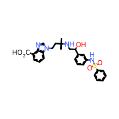 CC(C)(CCn1cnc2c(C(=O)O)cccc21)NCC(O)c1cccc(NS(=O)(=O)c2ccccc2)c1